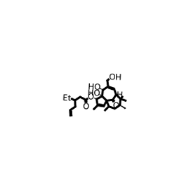 C=CCC(CC)CC(=O)O[C@H]1C(C)=CC23C(=O)[C@@H](C=C(CO)[C@@H](O)[C@]12O)C(C)(C)[C@@H](C)CC3C